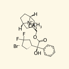 C[N+]1(C)[C@@H]2CC[C@H]1C[C@H](COC(=O)[C@](O)(c1ccccc1)[C@@H]1CCC(F)(F)C1)C2.[Br-]